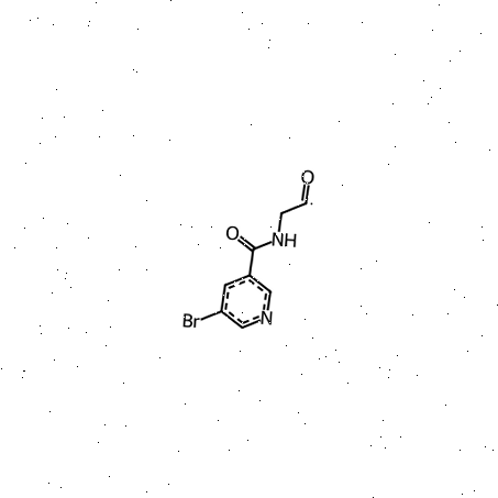 O=[C]CNC(=O)c1cncc(Br)c1